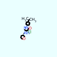 CC(C)c1ccc(-n2ncc(NC[C@H]3CCCOC3)c(Cl)c2=O)cc1